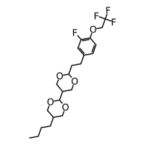 CCCCC1COC(C2COC(CCc3ccc(OCC(F)(F)F)c(F)c3)OC2)OC1